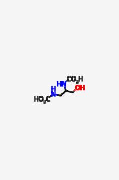 O=C(O)NCC(CO)NC(=O)O